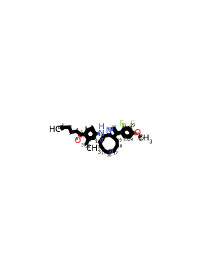 C#CCCCC(=O)c1ccc(N/C2=C/CC/C=C\CCC3C(c4ccc(OC)c(F)c4F)=CN=C23)cc1CC